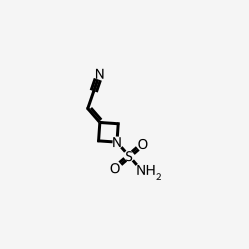 N#CC=C1CN(S(N)(=O)=O)C1